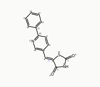 O=C1NC(=O)/C(=C/c2ccc(-c3ccccc3)nc2)S1